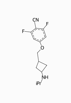 CC(C)NC1CC(COc2cc(F)c(C#N)c(F)c2)C1